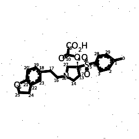 Cc1ccc(S(=O)(=O)[C@@]2(OC(=O)C(=O)O)CCN(CCc3ccc4c(c3)CCO4)C2)cc1